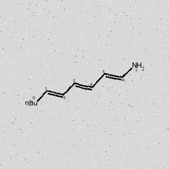 CCCCC=CC=CC=CN